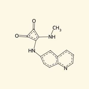 CNc1c(Nc2ccc3ncccc3c2)c(=O)c1=O